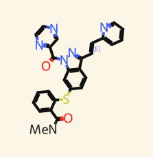 CNC(=O)c1ccccc1Sc1ccc2c(/C=C/c3ccccn3)nn(C(=O)c3cnccn3)c2c1